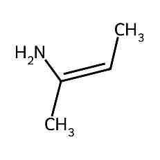 C/C=C(/C)N